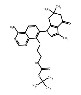 Cc1cn(-c2ccc3c(N)ncnc3c2SCCNC(=O)OC(C)(C)C)c2c1C(=O)CC(C)(C)C2